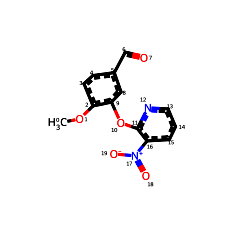 COc1ccc(C=O)cc1Oc1ncccc1[N+](=O)[O-]